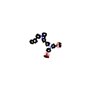 CC1(C)OB(c2ccc(N(c3ccc(B4OC(C)(C)C(C)(C)O4)cc3)c3ccc(-c4ccc5c(c4)c4ccccc4n5-c4cccc(-c5ccc6ccccc6c5)c4)cc3)cc2)OC1(C)C